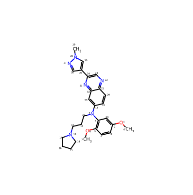 COc1ccc(OC)c(N(CCCN2CCCC2)c2ccc3ncc(-c4cnn(C)c4)nc3c2)c1